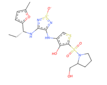 CC[C@@H](Nc1n[s+]([O-])nc1Nc1csc(S(=O)(=O)N2CCCC2CO)c1O)c1ccc(C)o1